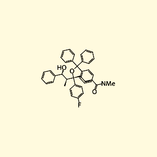 CNC(=O)CCC[C@@](OC(c1ccccc1)(c1ccccc1)c1ccccc1)(c1ccc(F)cc1)[C@@H](C)[C@H](O)c1ccccc1